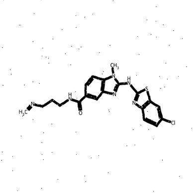 C=NCCCNC(=O)c1ccc2c(c1)nc(Nc1nc3ccc(Cl)cc3s1)n2C